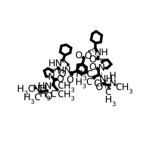 CN[C@@H](C)C(=O)N[C@H](C(=O)N1CCC[C@H]1C(=O)N[C@H](CNC(=O)c1cccc(C(=O)OC[C@@H](NC(=O)[C@@H]2CCCN2C(=O)[C@@H](NC(=O)[C@H](C)NC)C(C)(C)C)C2CCCCC2)c1)C1CCCCC1)C(C)(C)C